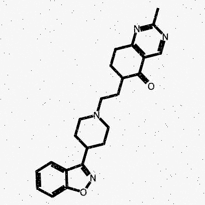 Cc1ncc2c(n1)CCC(CCN1CCC(c3noc4ccccc34)CC1)C2=O